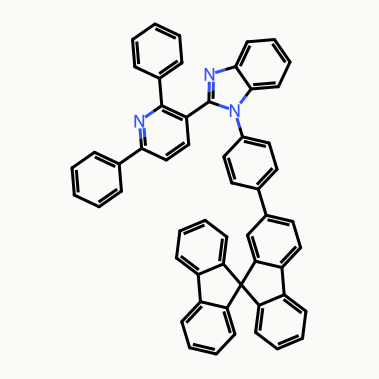 c1ccc(-c2ccc(-c3nc4ccccc4n3-c3ccc(-c4ccc5c(c4)C4(c6ccccc6-c6ccccc64)c4ccccc4-5)cc3)c(-c3ccccc3)n2)cc1